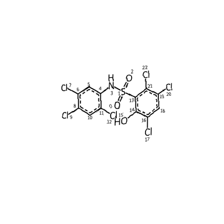 O=S(=O)(Nc1cc(Cl)c(Cl)cc1Cl)c1c(O)c(Cl)cc(Cl)c1Cl